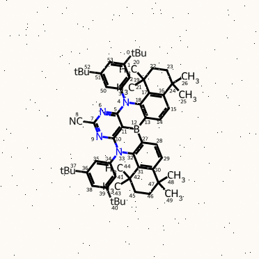 CC(C)(C)c1cc(N2c3nc(C#N)nc4c3B(c3ccc5c(c32)C(C)(C)CCC5(C)C)c2ccc3c(c2N4c2cc(C(C)(C)C)cc(C(C)(C)C)c2)C(C)(C)CCC3(C)C)cc(C(C)(C)C)c1